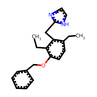 CCc1ccc(OCc2ccccc2)c(CC)c1Cc1ncc[nH]1